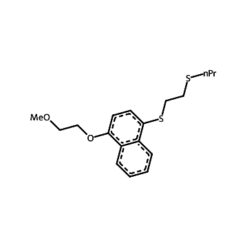 CCCSCCSc1ccc(OCCOC)c2ccccc12